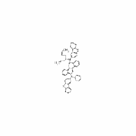 C=CC/C(=C\C=C/C)N(c1ccc2c(c1)C1C=CC=CC1S2)c1cc2c3ccccc3c(N(c3ccccc3)c3ccc4sc5ccccc5c4c3)cc2c2ccccc12